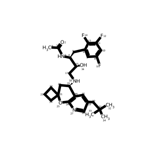 CC(=O)N[C@@H](Cc1cc(F)cc(F)c1F)[C@@H](O)CN[C@H]1CC2(CCC2)Oc2ncc(CC(C)(C)C)cc21